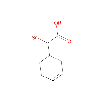 O=C(O)C(Br)C1CC=CCC1